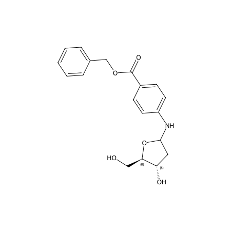 O=C(OCc1ccccc1)c1ccc(NC2C[C@H](O)[C@@H](CO)O2)cc1